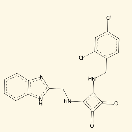 O=c1c(NCc2nc3ccccc3[nH]2)c(NCc2ccc(Cl)cc2Cl)c1=O